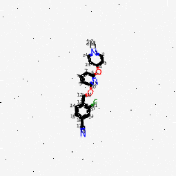 [2H]N1CCC(Oc2cccc(OCc3ccc(C#N)cc3F)n2)CC1